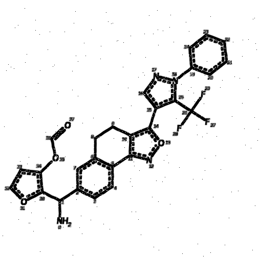 NC(c1ccc2c(c1)CCc1c-2noc1-c1cnn(-c2ccccc2)c1C(F)(F)F)c1occc1OC=O